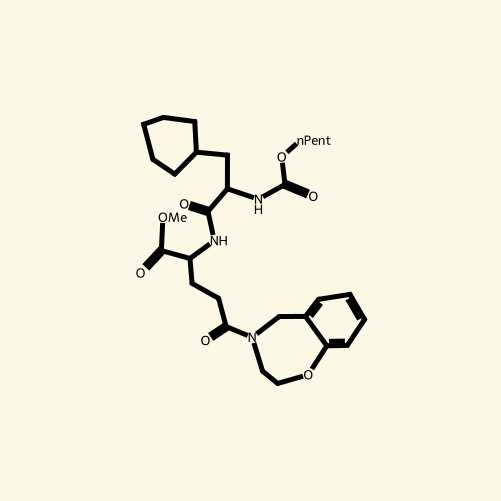 CCCCCOC(=O)NC(CC1CCCCC1)C(=O)NC(CCC(=O)N1CCOc2ccccc2C1)C(=O)OC